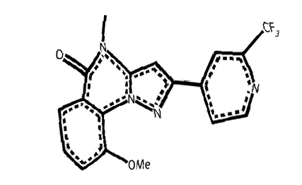 COc1cccc2c(=O)n(C)c3cc(-c4ccnc(C(F)(F)F)c4)nn3c12